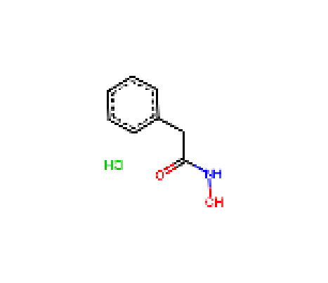 Cl.O=C(Cc1ccccc1)NO